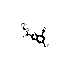 CCOC(=O)c1cc2cc(Br)cc(C#N)c2s1